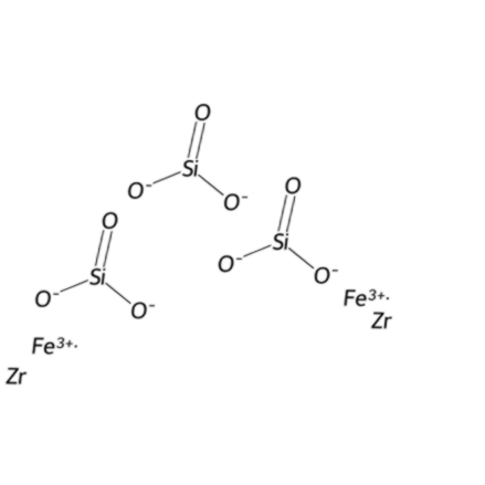 O=[Si]([O-])[O-].O=[Si]([O-])[O-].O=[Si]([O-])[O-].[Fe+3].[Fe+3].[Zr].[Zr]